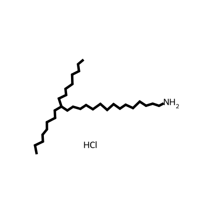 CCCCCCCCC(CCCCCCCC)CCCCCCCCCCCCCCCN.Cl